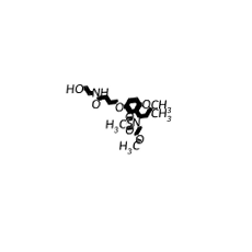 COCCN(C1CC(C)(C)Oc2ccc(OCCCC(=O)NCCO)cc21)S(C)(=O)=O